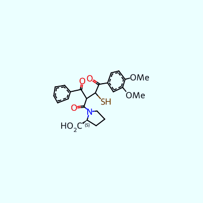 COc1ccc(C(=O)C(S)C(C(=O)c2ccccc2)C(=O)N2CCC[C@H]2C(=O)O)cc1OC